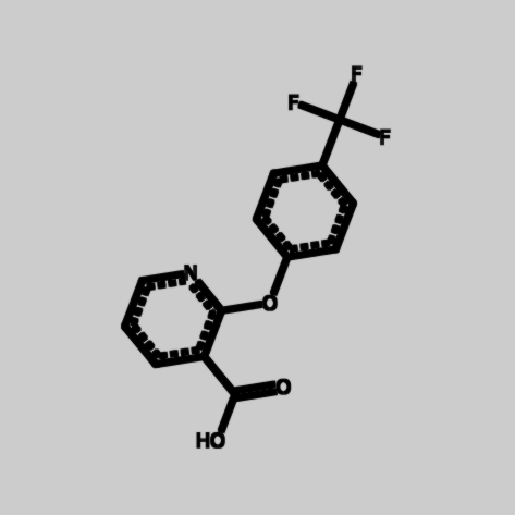 O=C(O)c1cccnc1Oc1ccc(C(F)(F)F)cc1